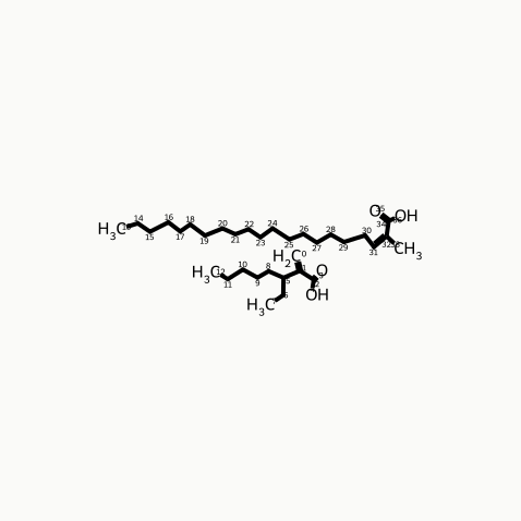 C=C(C(=O)O)C(CC)CCCCC.CCCCCCCCCCCCCCCCCCC=C(C)C(=O)O